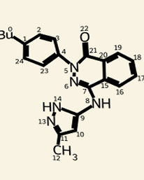 CCC(C)c1ccc(-n2nc(Nc3cc(C)n[nH]3)c3ccccc3c2=O)cc1